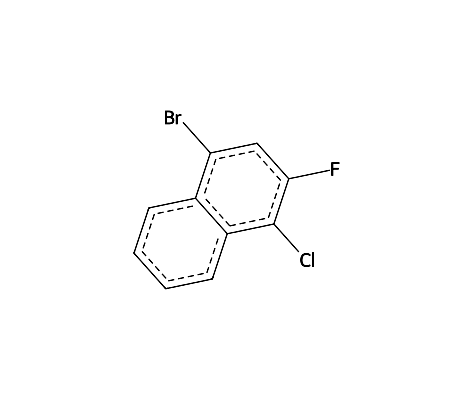 Fc1cc(Br)c2ccccc2c1Cl